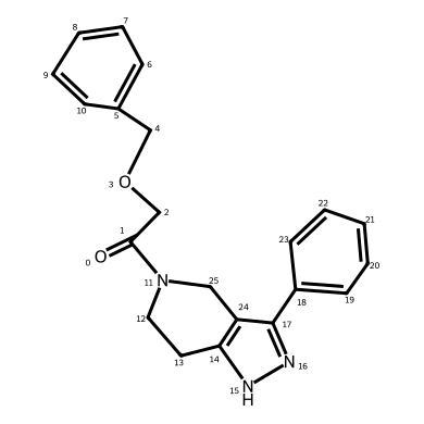 O=C(COCc1ccccc1)N1CCc2[nH]nc(-c3ccccc3)c2C1